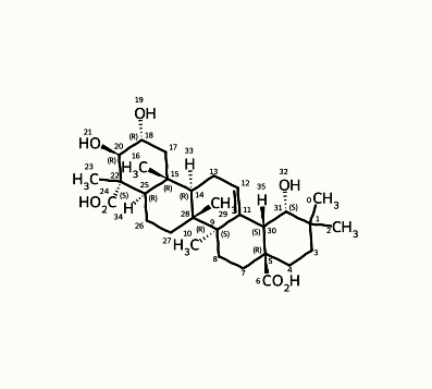 CC1(C)CC[C@]2(C(=O)O)CC[C@]3(C)C(=CC[C@@H]4[C@@]5(C)C[C@@H](O)[C@H](O)[C@@](C)(C(=O)O)[C@@H]5CC[C@]43C)[C@@H]2[C@@H]1O